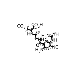 [C-]#[N+]c1nc(N)c(C(=O)NCC(=O)NC(CC(=O)O)CC(=O)O)nc1NC(=N)N